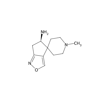 CN1CCC2(CC1)c1conc1C[C@H]2N